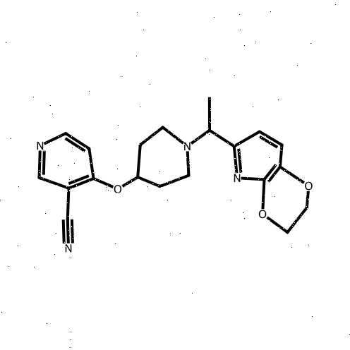 CC(c1ccc2c(n1)OCCO2)N1CCC(Oc2ccncc2C#N)CC1